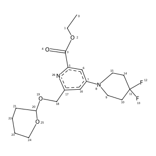 CCOC(=O)c1cc(N2CCC(F)(F)CC2)cc(COC2CCCCO2)n1